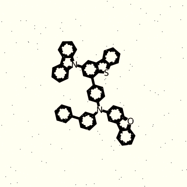 c1ccc(-c2cccc(N(c3ccc(-c4cc(-n5c6ccccc6c6ccccc65)cc5c4sc4ccccc45)cc3)c3ccc4oc5ccccc5c4c3)c2)cc1